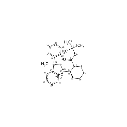 CC(C)(C)OC(=O)N1CCCC[C@H]1[C@H](O)CS(C)(c1ccccc1)c1ccccc1